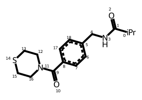 CC(C)C(=O)NCc1ccc(C(=O)N2CCSCC2)cc1